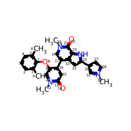 Cc1cccc(C)c1Oc1cn(C)c(=O)cc1-c1cn(C)c(=O)c2[nH]c(-c3ccn(C)c3)cc12